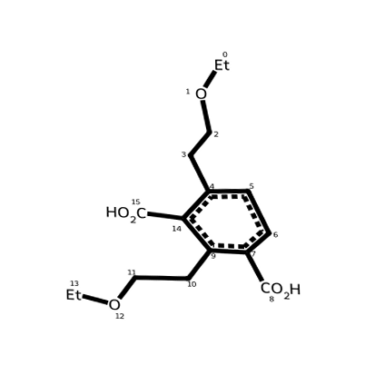 CCOCCc1ccc(C(=O)O)c(CCOCC)c1C(=O)O